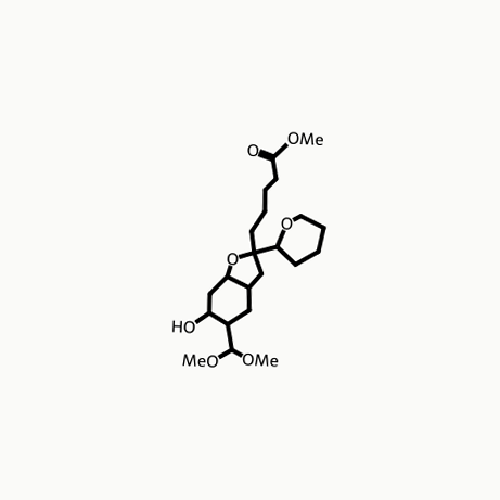 COC(=O)CCCCC1(C2CCCCO2)CC2CC(C(OC)OC)C(O)CC2O1